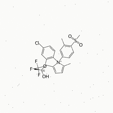 CC1=CC=C(C[C@H](C)O)[N+]1(c1ccc(S(C)(=O)=O)c(C)c1)c1ccc(Cl)cc1OC(F)(F)F